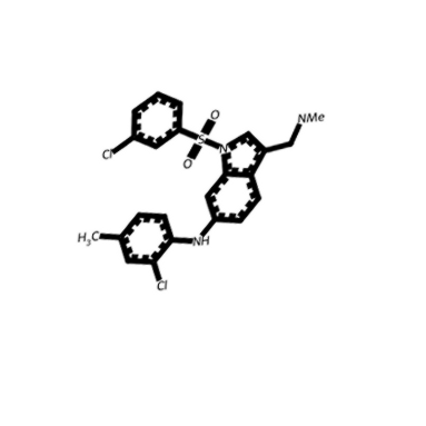 CNCc1cn(S(=O)(=O)c2cccc(Cl)c2)c2cc(Nc3ccc(C)cc3Cl)ccc12